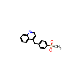 CS(=O)(=O)c1ccc(Cc2ccnc3ccccc23)cc1